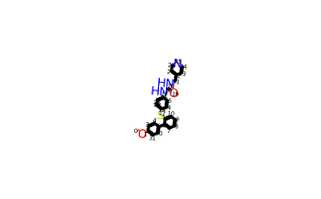 COc1ccc(-c2ccccc2Sc2ccc(NC(=O)NCc3ccncc3)cc2)cc1